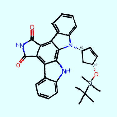 CC(C)(C)[Si](C)(C)O[C@H]1C=C[C@@H](n2c3ccccc3c3c4c(c5c6ccccc6[nH]c5c32)C(=O)NC4=O)C1